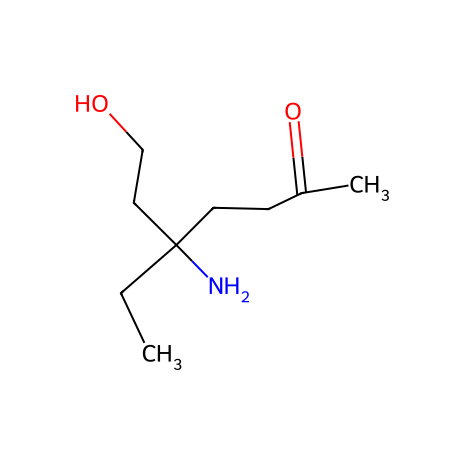 CCC(N)(CCO)CCC(C)=O